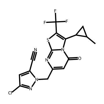 CC1CC1c1c(C(F)(F)F)sc2nc(Cn3nc(Cl)cc3C#N)cc(=O)n12